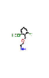 Cl.N=CCOCc1c(Cl)cccc1Cl